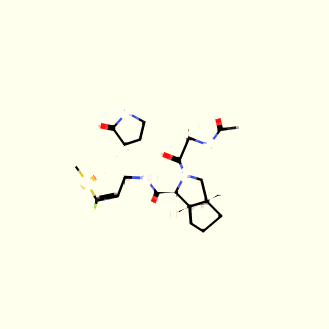 CC(C)(C)[C@H](NC(=O)C(F)(F)F)C(=O)N1C[C@@H]2CCC[C@@H]2[C@H]1C(=O)N[C@H](/C=C(/F)S(C)(=O)=O)C[C@H]1CCNC1=O